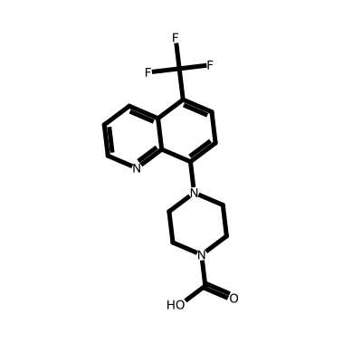 O=C(O)N1CCN(c2ccc(C(F)(F)F)c3cccnc23)CC1